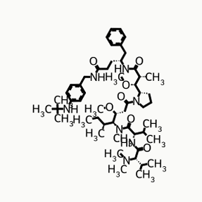 CC[C@H](C)[C@@H]([C@@H](CC(=O)N1CCC[C@H]1[C@H](OC)[C@@H](C)C(=O)N[C@H](CCC(=O)NCc1ccc(NC(C)(C)C)cc1)Cc1ccccc1)OC)N(C)C(=O)[C@@H](NC(=O)[C@H](C(C)C)N(C)C)C(C)C